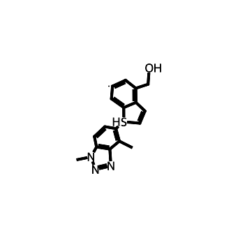 Cc1c([SH]2C=Cc3c(CO)c[c]cc32)ccc2c1nnn2C